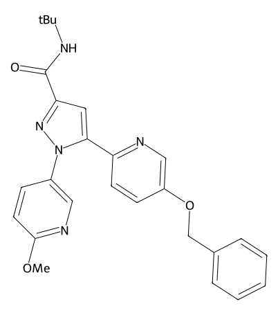 COc1ccc(-n2nc(C(=O)NC(C)(C)C)cc2-c2ccc(OCc3ccccc3)cn2)cn1